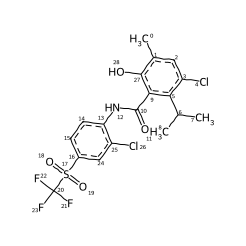 Cc1cc(Cl)c(C(C)C)c(C(=O)Nc2ccc(S(=O)(=O)C(F)(F)F)cc2Cl)c1O